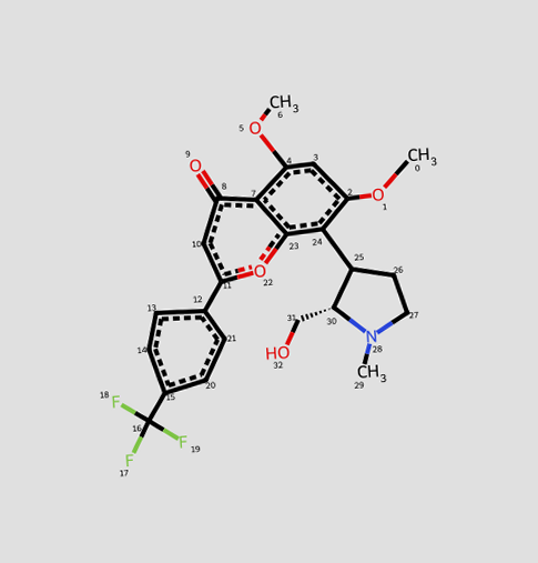 COc1cc(OC)c2c(=O)cc(-c3ccc(C(F)(F)F)cc3)oc2c1C1CCN(C)[C@@H]1CO